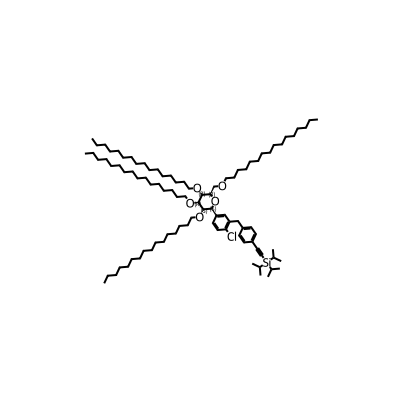 CCCCCCCCCCCCCCCCOC[C@H]1O[C@@H](c2ccc(Cl)c(Cc3ccc(C#C[Si](C(C)C)(C(C)C)C(C)C)cc3)c2)[C@H](OCCCCCCCCCCCCCCCC)[C@@H](OCCCCCCCCCCCCCCCC)[C@@H]1OCCCCCCCCCCCCCCCC